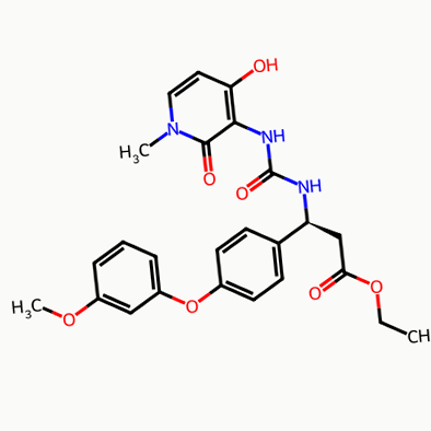 CCOC(=O)C[C@H](NC(=O)Nc1c(O)ccn(C)c1=O)c1ccc(Oc2cccc(OC)c2)cc1